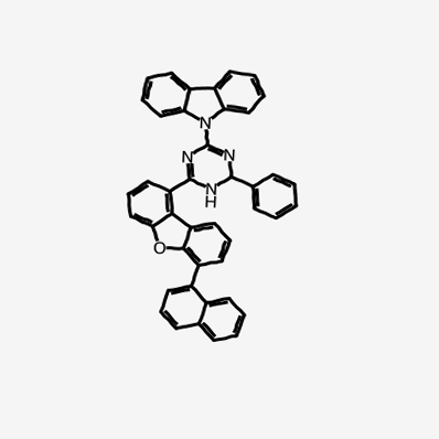 c1ccc(C2N=C(n3c4ccccc4c4ccccc43)N=C(c3cccc4oc5c(-c6cccc7ccccc67)cccc5c34)N2)cc1